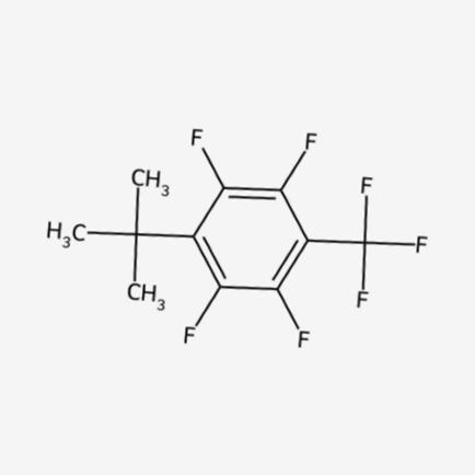 CC(C)(C)c1c(F)c(F)c(C(F)(F)F)c(F)c1F